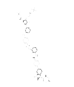 Cn1c(=O)n(C2CCC(=O)NC2=O)c2ccc(C3CCN(C(=O)Nc4cccc(CS(=O)(=O)N5CCC(Nc6cccc(-c7sc(C(=O)OC(C)(C)C)c(OCC(=O)OC(C)(C)C)c7Cl)c6)CC5)c4F)CC3)cc21